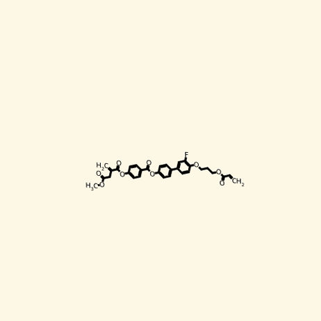 C=CC(=O)OCCCOc1ccc(-c2ccc(OC(=O)c3ccc(OC(=O)C(=C)CC(=O)OC)cc3)cc2)cc1F